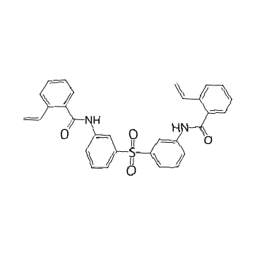 C=Cc1ccccc1C(=O)Nc1cccc(S(=O)(=O)c2cccc(NC(=O)c3ccccc3C=C)c2)c1